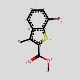 COC(=O)c1sc2c(Br)cccc2c1C